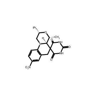 CC(C)[C@H]1CN2c3ccc([N+](=O)[O-])cc3CC3(C(=O)NC(=O)NC3=O)[C@@H]2[C@@H](C)O1